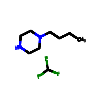 CCCCN1CCNCC1.FC(F)F